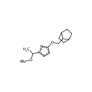 CC(OC(C)(C)C)n1ccc(OCC2C3CCC2CC3)n1